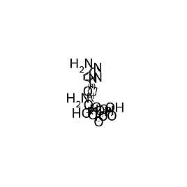 Nc1ncnn2c([C@H]3CC[C@@](N)(COP(=O)(O)OP(=O)(O)OP(=O)(O)O)O3)ccc12